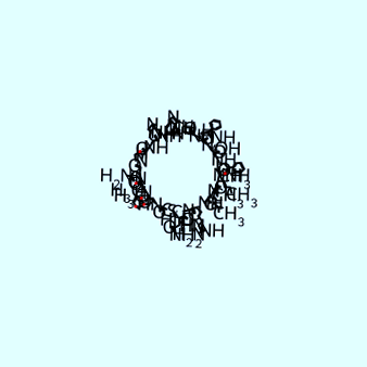 CCCC[C@H]1C(=O)N(C)[C@@H](CCCC)C(=O)N[C@@H](CCCNC(=N)N)C(=O)N[C@H](C(=O)NCC(N)=O)CSCC(=O)N[C@@H](Cc2ccccc2)C(=O)N(C)[C@@H](C)C(=O)N[C@@H](CC(N)=O)C(=O)N2CCC[C@H]2C(=O)N[C@@H](Cc2cnc[nH]2)C(=O)N[C@@H](Cc2cnc[nH]2)C(=O)N(C)CC(=O)N[C@@H](Cc2c[nH]c3ccccc23)C(=O)N[C@@H](CO)C(=O)N[C@@H](Cc2c[nH]c3ccccc23)C(=O)N1C